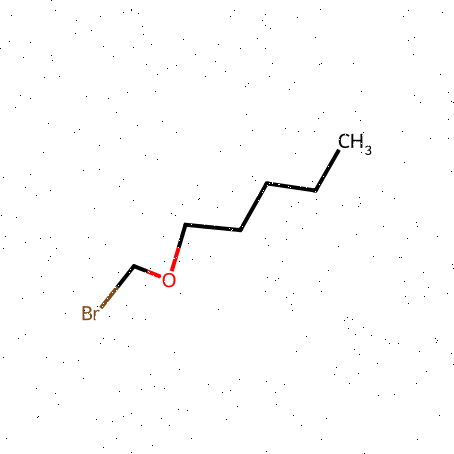 CCCCCOCBr